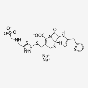 O=C(Cc1cccs1)NC1C(=O)N2C(C(=O)[O-])=C(CSc3nnc(CNCS(=O)(=O)[O-])s3)CS[C@@H]12.[Na+].[Na+]